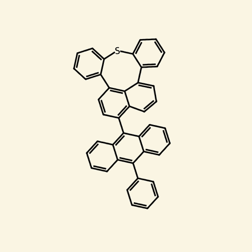 c1ccc(-c2c3ccccc3c(-c3ccc4c5c(cccc35)-c3ccccc3Sc3ccccc3-4)c3ccccc23)cc1